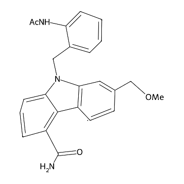 COCc1c[c]c2c3c(C(N)=O)cccc3n(Cc3ccccc3NC(C)=O)c2c1